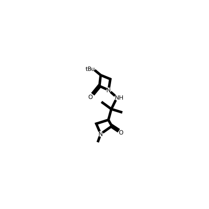 CN1CC(C(C)(C)NN2CC(C(C)(C)C)C2=O)C1=O